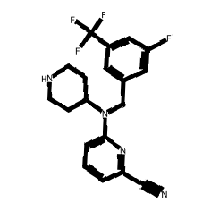 N#Cc1cccc(N(Cc2cc(F)cc(C(F)(F)F)c2)C2CCNCC2)n1